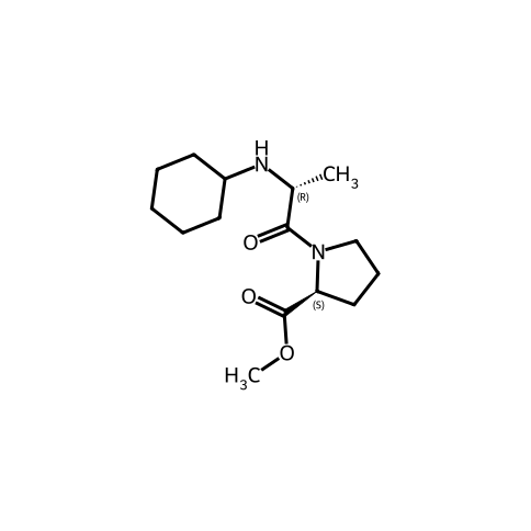 COC(=O)[C@@H]1CCCN1C(=O)[C@@H](C)NC1CCCCC1